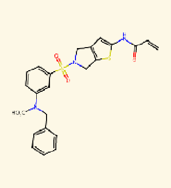 C=CC(=O)Nc1cc2c(s1)CN(S(=O)(=O)c1cccc(N(Cc3ccccc3)C(=O)O)c1)C2